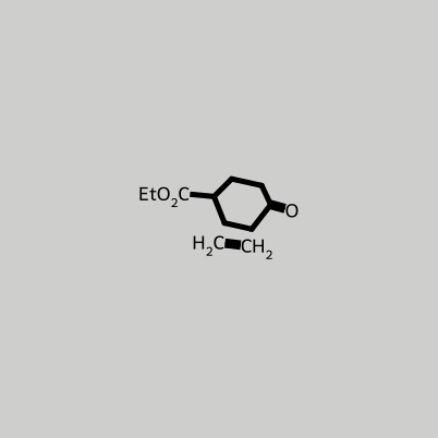 C=C.CCOC(=O)C1CCC(=O)CC1